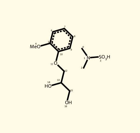 CN(C)S(=O)(=O)O.COc1ccccc1OCC(O)CO